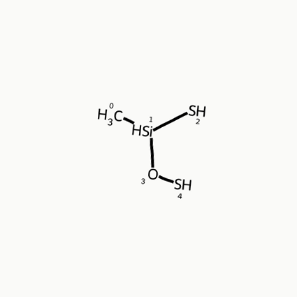 C[SiH](S)OS